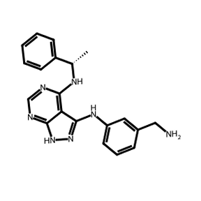 C[C@H](Nc1ncnc2[nH]nc(Nc3cccc(CN)c3)c12)c1ccccc1